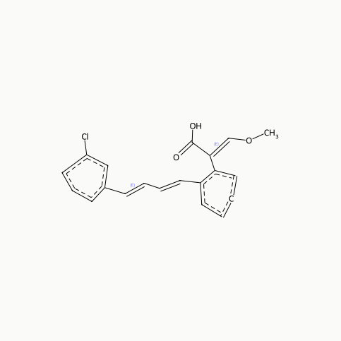 CO/C=C(/C(=O)O)c1ccccc1C=C/C=C/c1cccc(Cl)c1